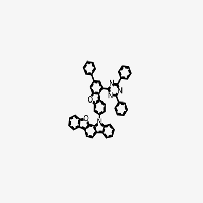 c1ccc(-c2cc(-c3nc(-c4ccccc4)nc(-c4ccccc4)n3)c3c(c2)oc2cc(-n4c5ccccc5c5ccc6c7ccccc7oc6c54)ccc23)cc1